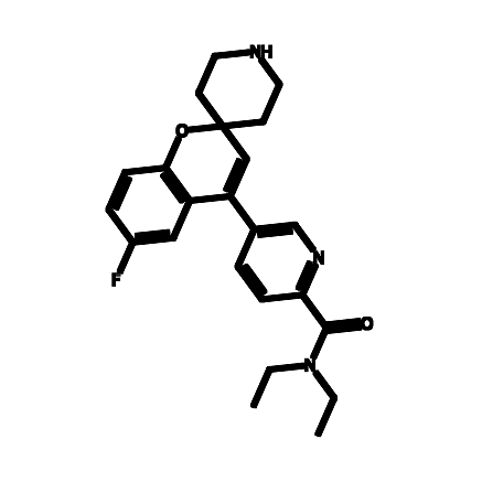 CCN(CC)C(=O)c1ccc(C2=CC3(CCNCC3)Oc3ccc(F)cc32)cn1